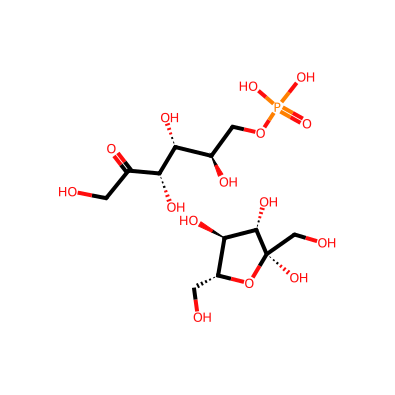 O=C(CO)[C@@H](O)[C@H](O)[C@H](O)COP(=O)(O)O.OC[C@H]1O[C@](O)(CO)[C@@H](O)[C@@H]1O